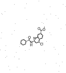 COC(=O)c1ccc2c(Cl)cc(NC(=O)c3ccccc3)nc2c1